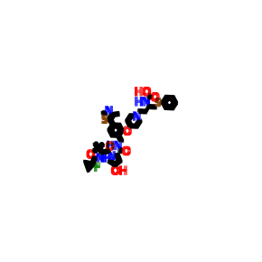 Cc1ncsc1-c1ccc(CNC(=O)[C@@H]2C[C@@H](O)CN2C(=O)[C@@H](NC(=O)C2(F)CC2)C(C)(C)C)c(OC2CCN(CC[C@H](CSc3ccccc3)NC(=O)O)CC2)c1